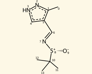 Cc1n[nH]cc1/C=N/[S@+]([O-])C(C)(C)C